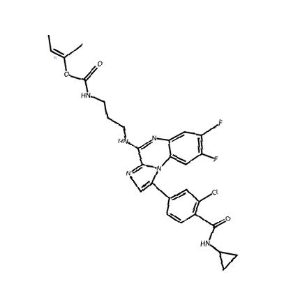 C/C=C(\C)OC(=O)NCCCNc1nc2cc(F)c(F)cc2n2c(-c3ccc(C(=O)NC4CC4)c(Cl)c3)cnc12